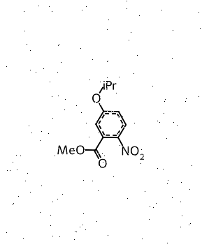 COC(=O)c1cc(OC(C)C)ccc1[N+](=O)[O-]